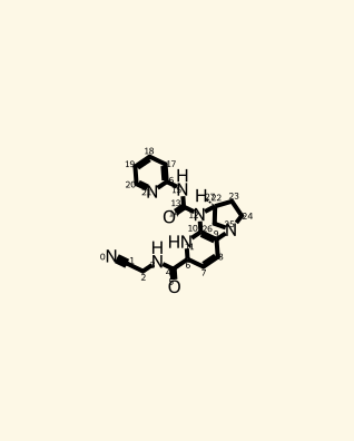 N#CCNC(=O)C1C=CC2=C(N1)N(C(=O)Nc1ccccn1)[C@H]1CCN2C1